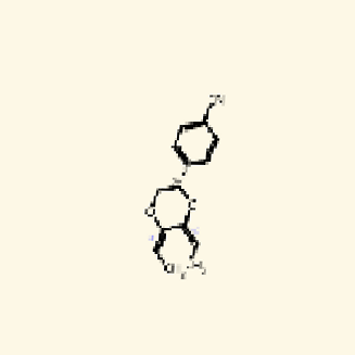 C/C=C1/OC[C@H](c2ccc(C#N)cc2)O/C1=C/C